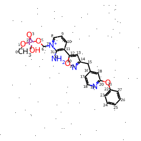 COP(=O)(O)OC[n+]1cccc(-c2cc(Cc3ccnc(Oc4ccccc4)c3)no2)c1N